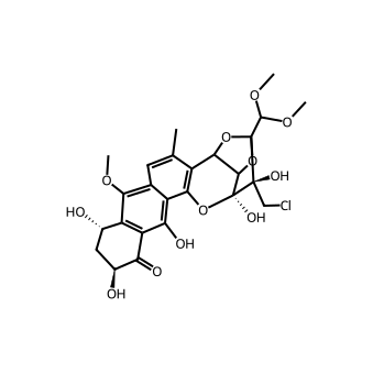 COc1c2c(c(O)c3c4c(c(C)cc13)C1OC3(C(OC)OC)OC1[C@](O)(O4)[C@@]3(O)CCl)C(=O)[C@@H](O)C[C@@H]2O